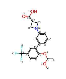 COC(C)Oc1ccc(C(F)(F)F)cc1-c1cccc(N2CC(C(=O)O)C2)c1